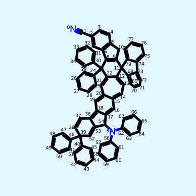 N#Cc1ccc2c(c1)C1=C(C2)C2(C3=CC=c4cc5c(cc4C=C3C1(c1ccccc1)c1ccccc1)=C1C=CC(c3ccccc3)(c3ccccc3)C=C1C5N(c1ccccc1)c1ccccc1)c1ccccc1-c1ccccc12